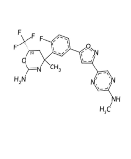 CNc1cnc(-c2cc(-c3ccc(F)c(C4(C)C[C@@H](C(F)(F)F)OC(N)=N4)c3)on2)cn1